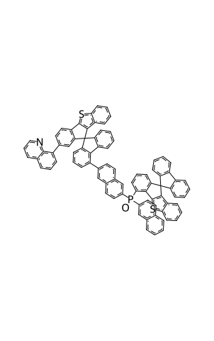 O=P(c1ccc2ccccc2c1)(c1ccc2cc(-c3cccc4c3-c3ccccc3C43c4cc(-c5cccc6cccnc56)ccc4-c4sc5ccccc5c43)ccc2c1)c1cccc2c1-c1sc3ccccc3c1C21c2ccccc2-c2ccccc21